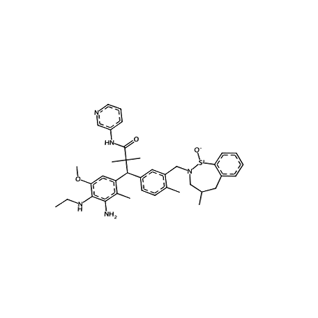 CCNc1c(OC)cc(C(c2ccc(C)c(CN3CC(C)Cc4ccccc4[S+]3[O-])c2)C(C)(C)C(=O)Nc2cccnc2)c(C)c1N